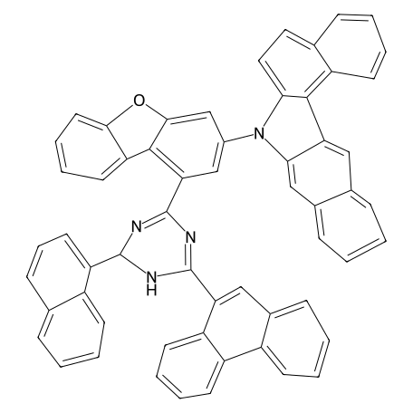 c1ccc2cc3c(cc2c1)c1c2ccccc2ccc1n3-c1cc(C2=NC(c3cccc4ccccc34)NC(c3cc4ccccc4c4ccccc34)=N2)c2c(c1)oc1ccccc12